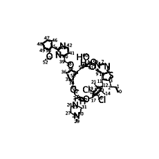 C=CCc1sc2ncnc3c2c1-c1c(C)c(Cl)c(c(Cl)c1C)O[C@H](CN1CCN(C)CC1)COc1ccc(OCc2ccnc(-c4ccccc4OC)n2)c(c1)C[C@H](C(=O)O)O3